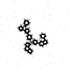 c1ccc(-c2cccc3ccc(-c4ccc(N(c5ccc(-c6ccc7c(c6)c6ccccc6n7-c6ccccc6)cc5)c5ccc6ccc7ccccc7c6c5)cc4)cc23)cc1